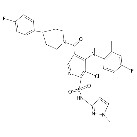 Cc1cc(F)ccc1Nc1c(C(=O)N2CCC(c3ccc(F)cc3)CC2)cnc(S(=O)(=O)Nc2ccn(C)n2)c1Cl